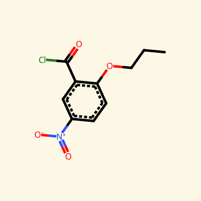 CCCOc1ccc([N+](=O)[O-])cc1C(=O)Cl